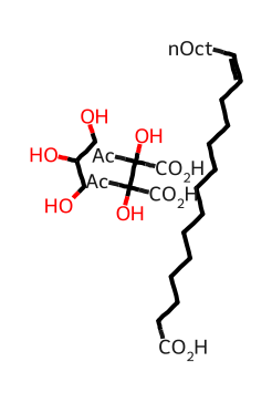 CC(=O)C(O)(C(=O)O)C(O)(C(C)=O)C(=O)O.CCCCCCCC/C=C\CCCCCCCCCCCC(=O)O.OCC(O)CO